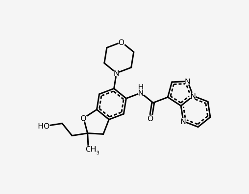 CC1(CCO)Cc2cc(NC(=O)c3cnn4cccnc34)c(N3CCOCC3)cc2O1